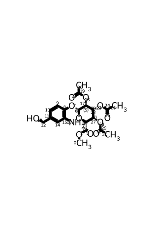 COC(=O)[C@@H]1O[C@H](Oc2ccc(CO)cc2N)[C@@H](OC(C)=O)[C@H](OC(C)=O)[C@H]1OC(C)=O